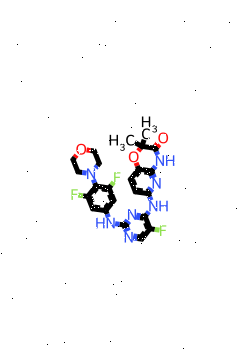 CC1(C)Oc2ccc(Nc3nc(Nc4cc(F)c(N5CCOCC5)c(F)c4)ncc3F)nc2NC1=O